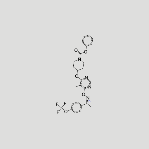 C/C(=N/Oc1ncnc(OC2CCN(C(=O)Oc3ccccc3)CC2)c1C)c1ccc(OC(F)(F)F)cc1